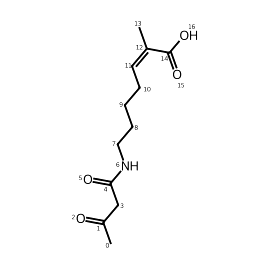 CC(=O)CC(=O)NCCCCC=C(C)C(=O)O